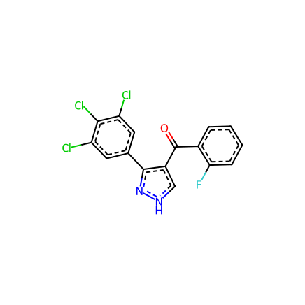 O=C(c1ccccc1F)c1c[nH]nc1-c1cc(Cl)c(Cl)c(Cl)c1